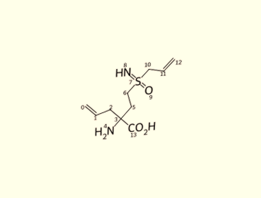 C=CCC(N)(CCS(=N)(=O)CC=C)C(=O)O